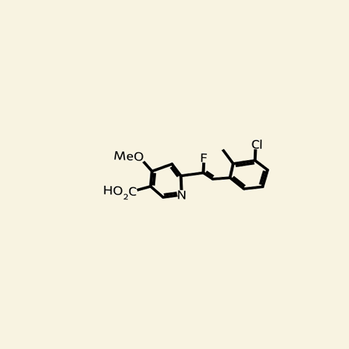 COc1cc(/C(F)=C/c2cccc(Cl)c2C)ncc1C(=O)O